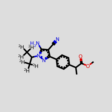 [2H]C([2H])([2H])C(n1nc(-c2ccc(C(C)C(=O)OC)cc2)c(C#N)c1N)C([2H])([2H])[2H]